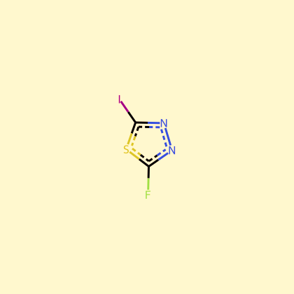 Fc1nnc(I)s1